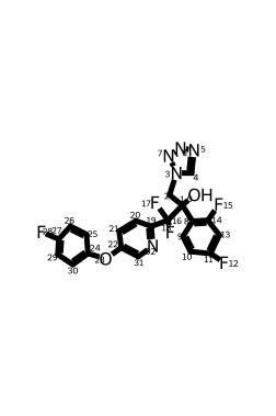 OC(Cn1cnnn1)(c1ccc(F)cc1F)C(F)(F)c1ccc(Oc2ccc(F)cc2)cn1